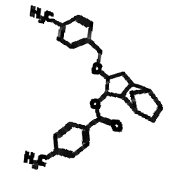 Cc1ccc(COC2CC3C4CCC(C4)C3C2OC(=O)c2ccc(C)cc2)cc1